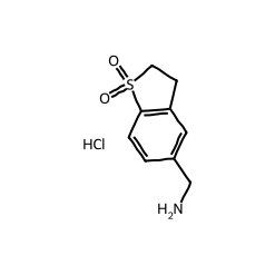 Cl.NCc1ccc2c(c1)CCS2(=O)=O